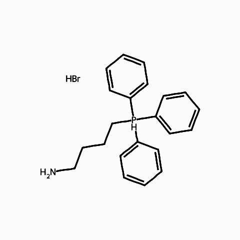 Br.NCCCC[PH](c1ccccc1)(c1ccccc1)c1ccccc1